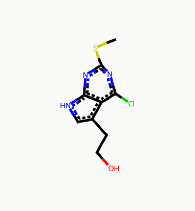 CSc1nc(Cl)c2c(CCO)c[nH]c2n1